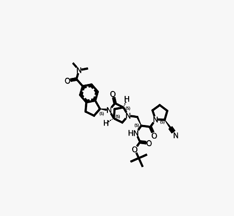 CN(C)C(=O)c1ccc2c(c1)CC[C@@H]2N1C(=O)[C@@H]2C[C@H]1CN2C[C@H](NC(=O)OC(C)(C)C)C(=O)N1CCC[C@H]1C#N